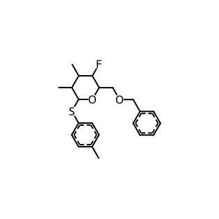 Cc1ccc(SC2OC(COCc3ccccc3)C(F)C(C)C2C)cc1